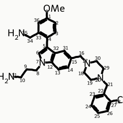 COc1ccc(-c2cn(CCCN)c3ccc(CN4CCN(Cc5ccccc5Cl)CC4)cc23)c(CN)c1